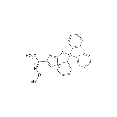 CCCO/N=C(/C(=O)O)c1csc(NC(c2ccccc2)(c2ccccc2)c2ccccc2)n1